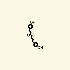 O=C(C=CC=Cc1ccc(O)cc1)CCc1ccc(O)cc1